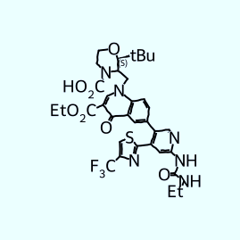 CCNC(=O)Nc1cc(-c2nc(C(F)(F)F)cs2)c(-c2ccc3c(c2)c(=O)c(C(=O)OCC)cn3CC2[C@H](C(C)(C)C)OCCN2C(=O)O)cn1